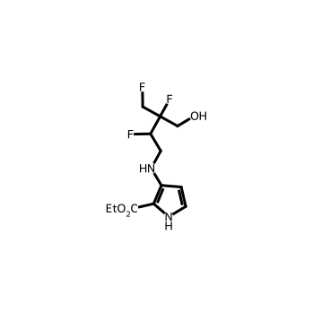 CCOC(=O)c1[nH]ccc1NCC(F)C(F)(CO)CF